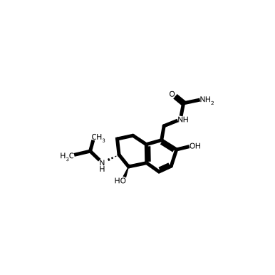 CC(C)N[C@@H]1CCc2c(ccc(O)c2CNC(N)=O)[C@H]1O